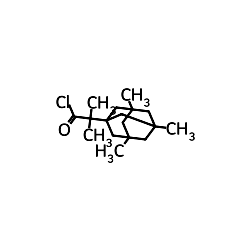 CC12CC3(C)CC(C)(C1)CC(C(C)(C)C(=O)Cl)(C2)C3